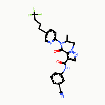 CC1Cn2ncc(C(=O)Nc3cccc(C#N)c3)c2C(=O)N1c1ccc(CCCC(F)(F)F)cn1